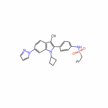 CC(C)CS(=O)(=O)Nc1ccc(-c2c(C#N)c3ccc(-n4cccn4)cc3n2C2CCC2)cc1